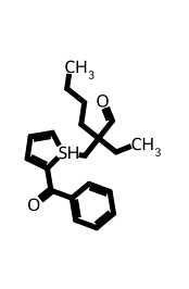 CCCCC(C=O)(CC)C[SH]1C=CC=C1C(=O)c1ccccc1